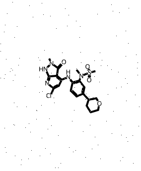 CN(c1cc(C2CCCOC2)ccc1Nc1cc(Cl)nc2[nH]n(C)c(=O)c12)S(C)(=O)=O